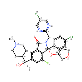 CC[C@@](O)(c1cc(F)c2c(c1)C(=O)N(Cc1ncc(Cl)cn1)[C@@]2(O[C@H]1CCOC1)c1ccc(Cl)cc1)C1CCN(C)CC1